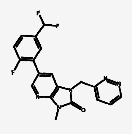 Cn1c(=O)n(Cc2cccnn2)c2cc(-c3cc(C(F)F)ccc3F)cnc21